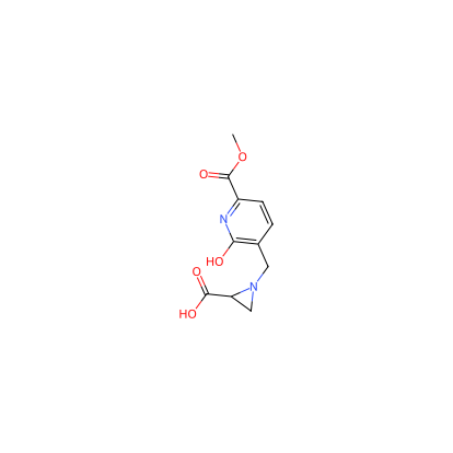 COC(=O)c1ccc(CN2CC2C(=O)O)c(O)n1